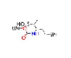 CC(C)CCC(NC(=O)OC(C)(C)C)C(C)S(=O)(=O)O